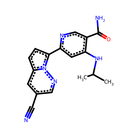 CC(C)Nc1cc(-c2ccc3cc(C#N)cnn23)ncc1C(N)=O